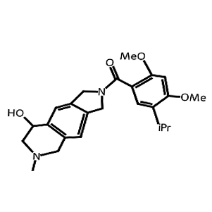 COc1cc(OC)c(C(C)C)cc1C(=O)N1Cc2cc3c(cc2C1)C(O)CN(C)C3